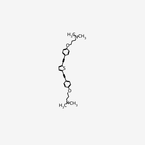 CN(C)CCCOc1ccc(C#Cc2ccc(C#Cc3ccc(OCCCN(C)C)cc3)s2)cc1